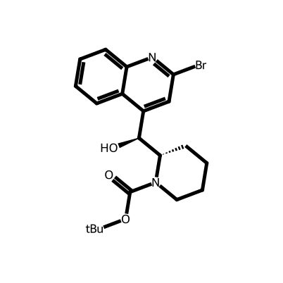 CC(C)(C)OC(=O)N1CCCC[C@H]1[C@@H](O)c1cc(Br)nc2ccccc12